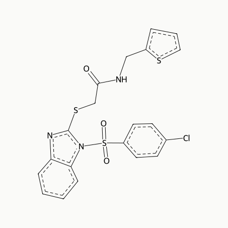 O=C(CSc1nc2ccccc2n1S(=O)(=O)c1ccc(Cl)cc1)NCc1cccs1